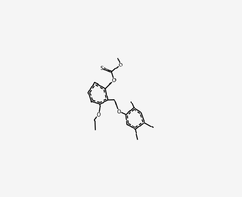 CCOc1cccc(OC(=S)OC)c1COc1cc(C)c(C)cc1C